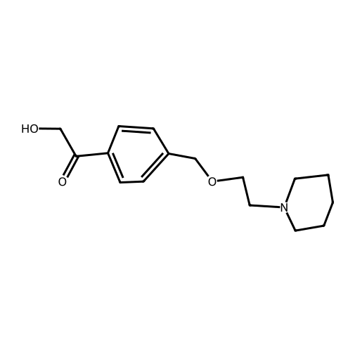 O=C(CO)c1ccc(COCCN2CCCCC2)cc1